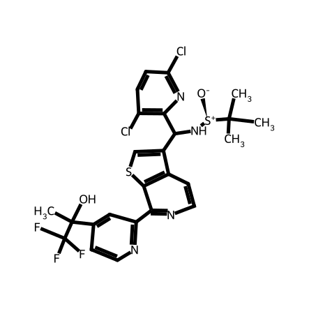 CC(C)(C)[S@+]([O-])NC(c1nc(Cl)ccc1Cl)c1csc2c(-c3cc(C(C)(O)C(F)(F)F)ccn3)nccc12